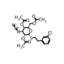 CC(=O)OC[C@H]1O[C@H](SCCc2cccc(Cl)c2)[C@H](OC(C)=O)[C@@H](N=[N+]=[N-])[C@H]1OC(C)=O